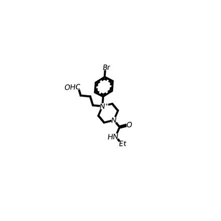 CCNC(=O)N1CC[N+](CCCC=O)(c2ccc(Br)cc2)CC1